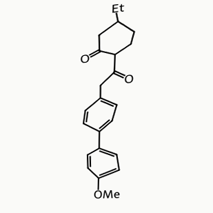 CCC1CCC(C(=O)Cc2ccc(-c3ccc(OC)cc3)cc2)C(=O)C1